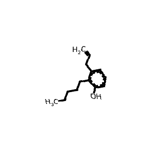 C=CCc1cccc(O)c1CCCCC